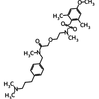 COc1cc(C)c(S(=O)(=O)N(C)CCOCC(=O)N(C)Cc2ccc(CCCN(C)C)cc2)c(C)c1